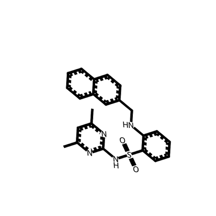 Cc1cc(C)nc(NS(=O)(=O)c2ccccc2NCc2ccc3ccccc3c2)n1